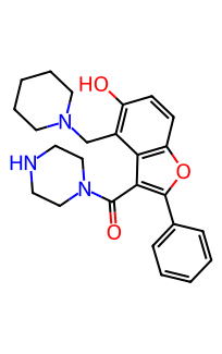 O=C(c1c(-c2ccccc2)oc2ccc(O)c(CN3CCCCC3)c12)N1CCNCC1